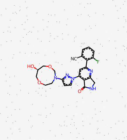 N#Cc1cccc(F)c1-c1cc(-n2ccc(N3CCOC[C@@H](O)COC3)n2)c2c(n1)CNC2=O